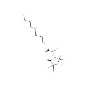 CCCCCCCCOC(=O)C(C)N1C(=O)C(C)(C)NC1(C)C